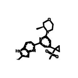 [CH2]c1cc2nc(-c3cc(C4(S(C)(=O)=O)CC4)cc(N4CCOC[C@@H]4C)n3)ccc2[nH]1